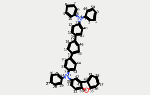 c1ccc(N(c2ccccc2)c2ccc(-c3ccc(-c4ccc(N(c5ccccc5)c5ccc6oc7ccccc7c6c5)cc4)cc3)cc2)cc1